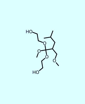 COCC(CC(C)C)C(OC)(OCCO)OCCO